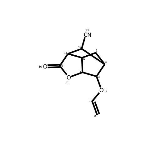 C=COC1C2CC3C1OC(=O)C3C2C#N